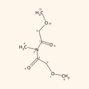 COCC(=O)N(C)C(=O)COC